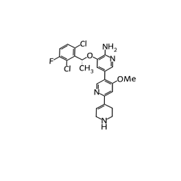 COc1cc(C2=CCNCC2)ncc1-c1cnc(N)c(O[C@H](C)c2c(Cl)ccc(F)c2Cl)c1